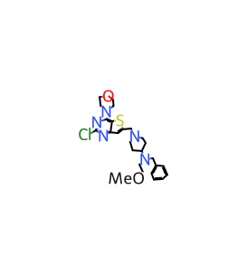 COCCN(Cc1ccccc1)C1CCN(Cc2cc3nc(Cl)nc(N4CCOCC4)c3s2)CC1